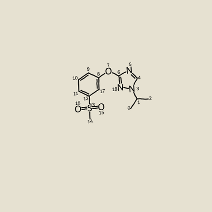 CC(C)n1cnc(Oc2cccc(S(C)(=O)=O)c2)n1